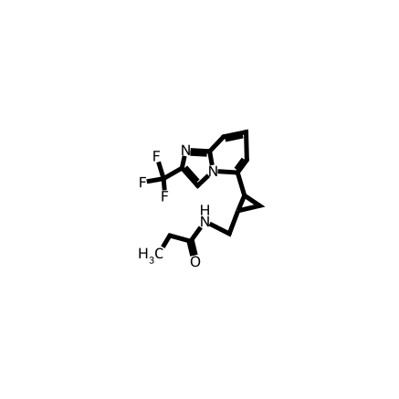 CCC(=O)NCC1CC1c1cccc2nc(C(F)(F)F)cn12